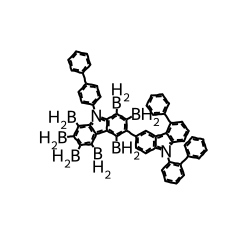 Bc1c(B)c(B)c2c(c1B)c1c(B)c(-c3ccc4c(c3)c3c(-c5ccccc5)cccc3n4-c3ccccc3-c3ccccc3)c(B)c(B)c1n2-c1ccc(-c2ccccc2)cc1